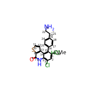 COc1cc(Cl)c2[nH]c(=O)c3sccc3c2c1-c1ccc([C@@H](C)CN)cc1.Cl